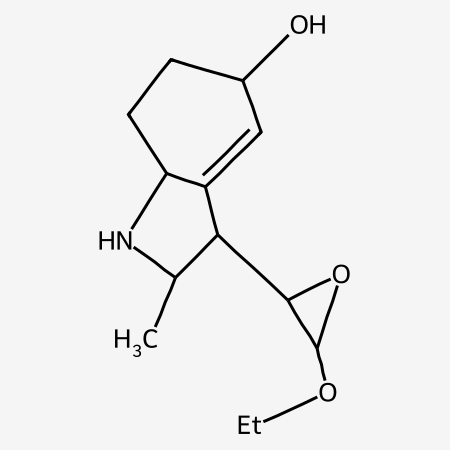 CCOC1OC1C1C2=CC(O)CCC2NC1C